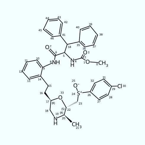 COC(=O)NC(C(=O)Nc1ccccc1CC[C@@H]1CN[C@H](C)[C@@H](C[S+]([O-])c2ccc(Cl)cc2)O1)C(c1ccccc1)c1ccccc1